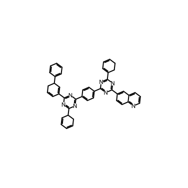 C1=CCCC(c2nc(-c3ccc(-c4nc(C5=CC(c6ccccc6)CC=C5)nc(C5C=CC=CC5)n4)cc3)nc(-c3ccc4ncccc4c3)n2)=C1